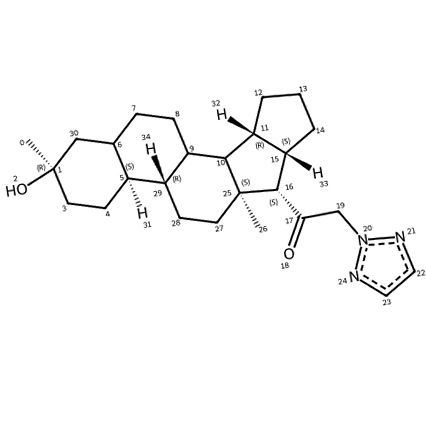 C[C@@]1(O)CC[C@H]2C(CCC3C4[C@@H]5CCC[C@@H]5[C@H](C(=O)Cn5nccn5)[C@@]4(C)CC[C@@H]32)C1